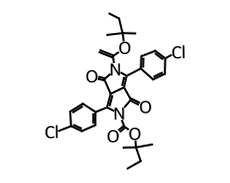 C=C(OC(C)(C)CC)N1C(=O)C2=C(c3ccc(Cl)cc3)N(C(=O)OC(C)(C)CC)C(=O)C2=C1c1ccc(Cl)cc1